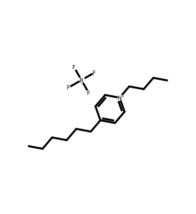 CCCCCCc1cc[n+](CCCC)cc1.F[B-](F)(F)F